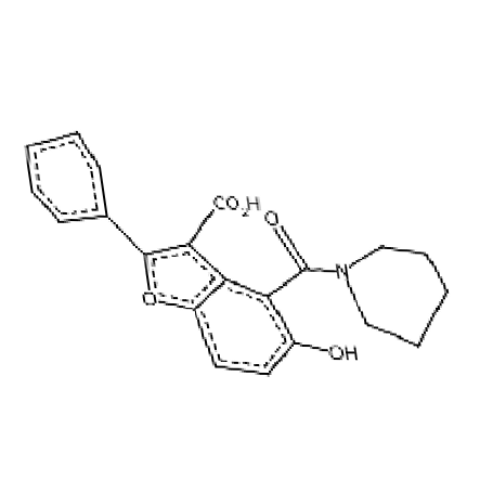 O=C(O)c1c(-c2ccccc2)oc2ccc(O)c(C(=O)N3CCCCC3)c12